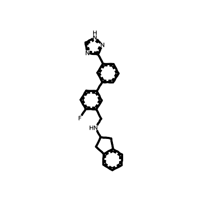 Fc1ccc(-c2cccc(-c3nc[nH]n3)c2)cc1CNC1Cc2ccccc2C1